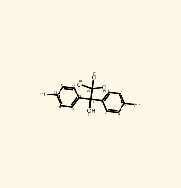 OC(c1ccc(F)cc1)(c1ccc(F)cc1)C(Cl)(Cl)Cl